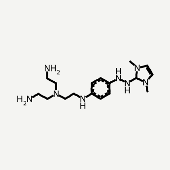 CN1C=CN(C)C1NNc1ccc(NCCN(CCN)CCN)cc1